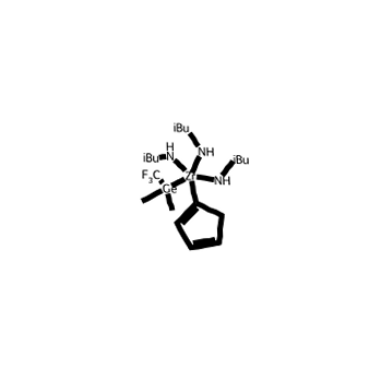 CCC(C)[NH][Zr]([NH]C(C)CC)([NH]C(C)CC)([C]1=CC=CC1)[Ge]([CH3])([CH3])[C](F)(F)F